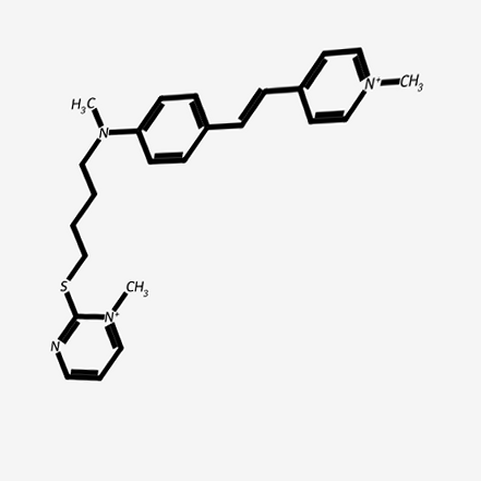 CN(CCCCSc1nccc[n+]1C)c1ccc(/C=C/c2cc[n+](C)cc2)cc1